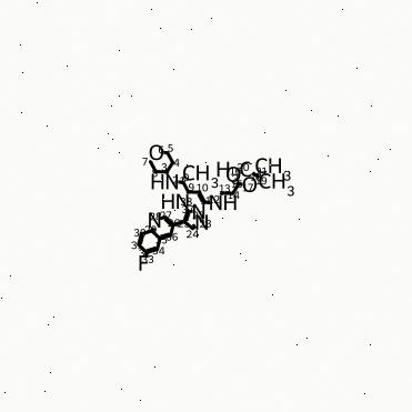 CC(NC1CCOCC1)C1C=C(NCCC(=O)OC(C)(C)C)n2ncc(-c3cnc4ccc(F)cc4c3)c2N1